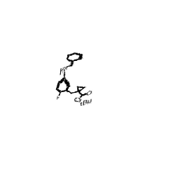 CC(C)(C)OC(=O)C1(Cc2cc(NCc3ccccc3)ccc2F)CC1